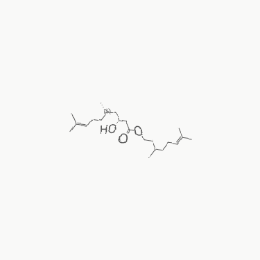 CC(C)=CCCC(C)CCOC(=O)CC(O)C[C@@H](C)CCC=C(C)C